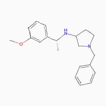 COc1cccc([C@@H](C)NC2CCN(Cc3ccccc3)C2)c1